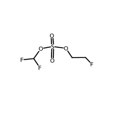 O=S(=O)(OCCF)OC(F)F